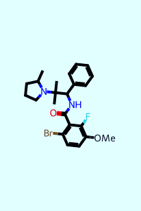 COc1ccc(Br)c(C(=O)NC(c2ccccc2)C(C)(C)N2CCCC2C)c1F